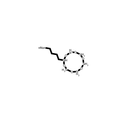 CCCCCCCCCCCCC[SiH]1O[SiH2]O[SiH2]O[SiH2]O[SiH2]O[SiH2]O1